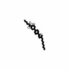 CCCCCCCCc1ccc(-c2ccc(C3CCC(O)(C(=O)C(F)CCCC)CC3)cc2)nc1